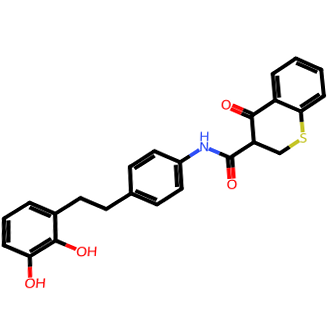 O=C(Nc1ccc(CCc2cccc(O)c2O)cc1)C1CSc2ccccc2C1=O